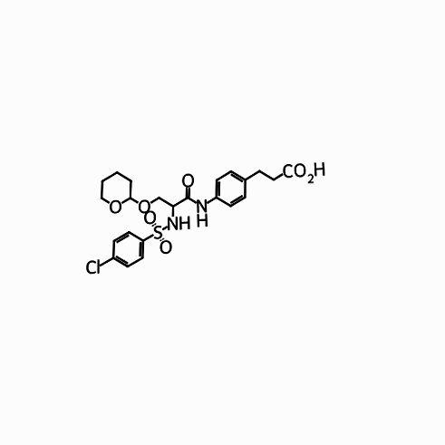 O=C(O)CCc1ccc(NC(=O)C(COC2CCCCO2)NS(=O)(=O)c2ccc(Cl)cc2)cc1